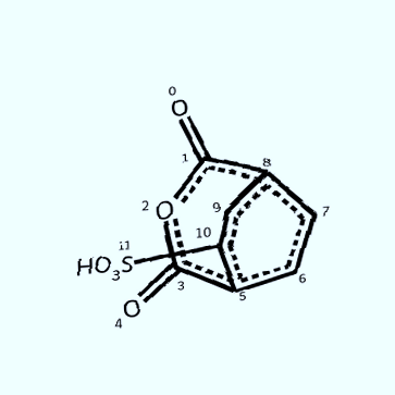 O=c1oc(=O)c2ccc1cc2S(=O)(=O)O